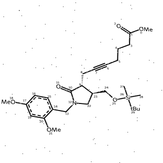 COC(=O)CCCC#CC[C@H]1C(=O)N(Cc2ccc(OC)cc2OC)C[C@@H]1CO[Si](C)(C)C(C)(C)C